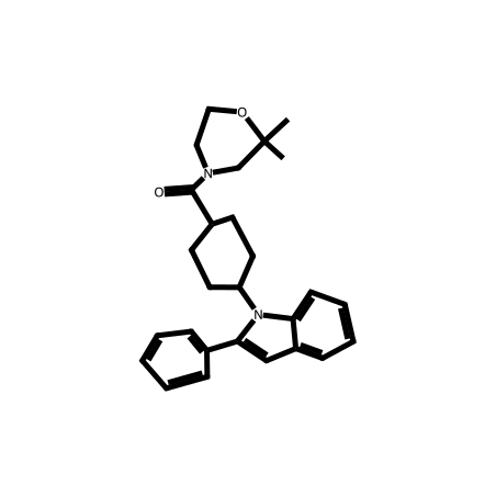 CC1(C)CN(C(=O)C2CCC(n3c(-c4ccccc4)cc4ccccc43)CC2)CCO1